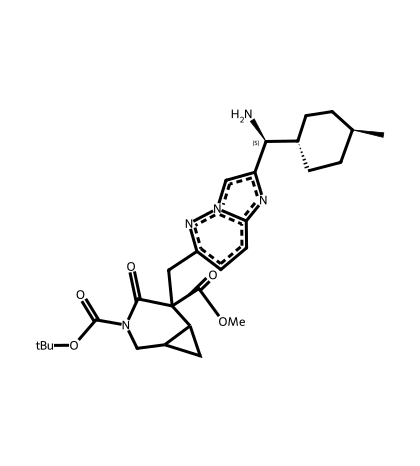 COC(=O)C1(Cc2ccc3nc([C@@H](N)[C@H]4CC[C@H](C)CC4)cn3n2)C(=O)N(C(=O)OC(C)(C)C)CC2CC21